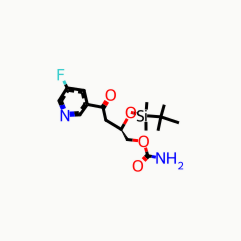 CC(C)(C)[Si](C)(C)O[C@@H](COC(N)=O)CC(=O)c1cncc(F)c1